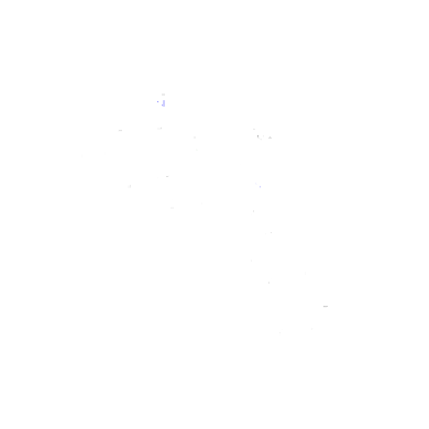 COc1nc(CCc2cccc(Cl)c2)cc(Oc2cc(N)cc(Cl)c2)c1Cl